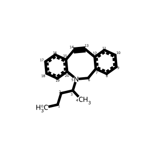 CCCC(C)N1Cc2ccccc2C#Cc2ccccc21